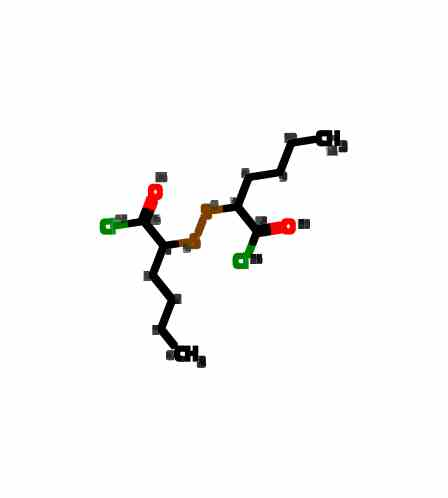 CCCCC(SSC(CCCC)C(=O)Cl)C(=O)Cl